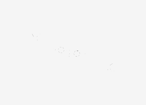 C=CC(=O)OCCCCCOc1ccc(OC(=O)c2ccc(OCCCCCCCC3CC(=C)C(=O)O3)cc2)cc1